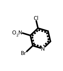 O=[N+]([O-])c1c(Cl)ccnc1Br